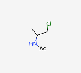 CC(=O)NC(C)CCl